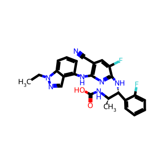 CCn1ncc2c(Nc3nc(N[C@H](c4ccccc4F)[C@H](C)NC(=O)O)c(F)cc3C#N)cccc21